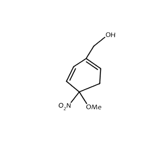 COC1([N+](=O)[O-])C=CC(CO)=CC1